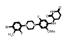 COc1cc(N2CCN(c3ccc(Br)c(C)c3F)CC2)c(F)cc1NC1CCC(=O)NC1=O